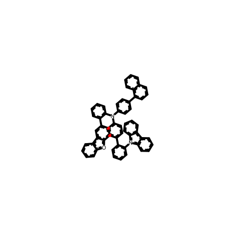 c1ccc(N(c2ccc(-c3ccccc3-n3c4ccccc4c4ccccc43)cc2)c2ccc(-c3cccc4ccccc34)cc2)c(-c2ccc3oc4ccccc4c3c2)c1